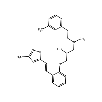 Cc1cc(C=Cc2ccccc2OCC(O)CN(C)CCc2cccc(C(F)(F)F)c2)on1